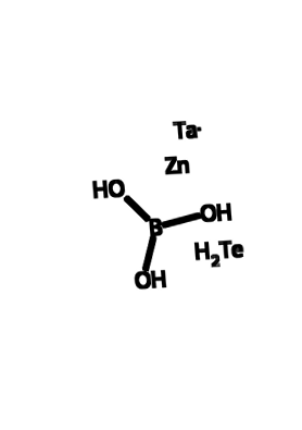 OB(O)O.[Ta].[TeH2].[Zn]